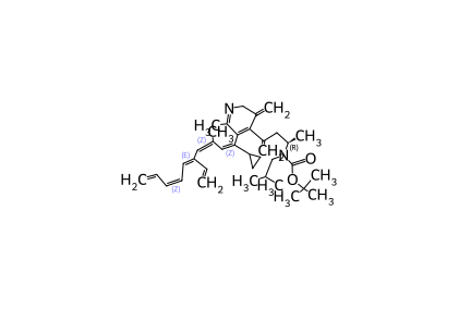 C=C\C=C/C=C(C=C)/C=C(C)\C=C(/C1=C(C(=C)C[C@@H](C)N(CC(C)C)C(=O)OC(C)(C)C)C(=C)CN=C1C)C1CC1